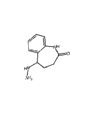 NNC1CCC(=O)Nc2ccccc21